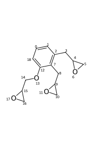 c1cc(CC2CO2)c(CC2CO2)c(OCC2CO2)c1